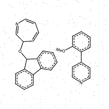 C1=CN=CC(OC2c3ccccc3-c3ccccc32)C=C1.COc1ccccc1-c1ccncc1